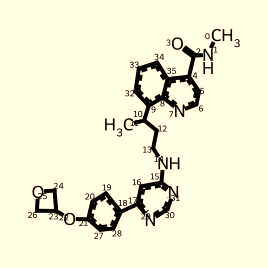 CNC(=O)c1ccnc2c(C(C)CCNc3cc(-c4ccc(OC5COC5)cc4)ncn3)cccc12